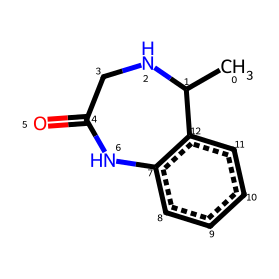 CC1NCC(=O)Nc2ccccc21